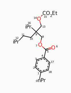 CCCc1ccc(C(=O)OCC(CCC(C)C)(COC(=O)OCC)C(C)C)cc1